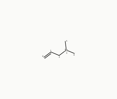 C=C[CH2][In]([CH3])[CH3]